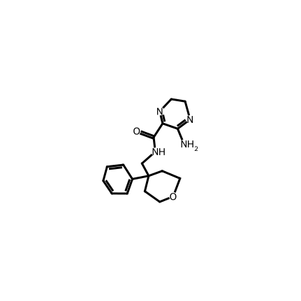 NC1=NCCN=C1C(=O)NCC1(c2ccccc2)CCOCC1